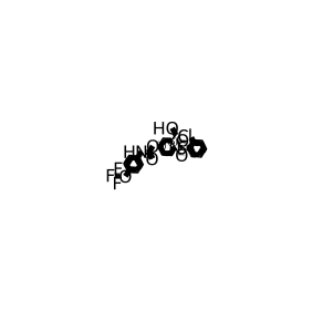 O=C(Nc1ccc(OC(F)(F)F)cc1)O[C@H]1CCN(S(=O)(=O)c2ccccc2Cl)[C@H](CO)C1